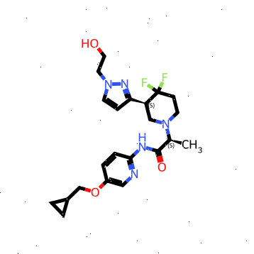 C[C@@H](C(=O)Nc1ccc(OCC2CC2)cn1)N1CCC(F)(F)[C@H](c2ccn(CCO)n2)C1